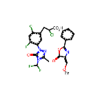 CCOC=C1N=C(c2ccccc2)OC1=O.Cc1nn(-c2cc(CC(Cl)C(=O)O)c(Cl)cc2F)c(=O)n1C(F)F